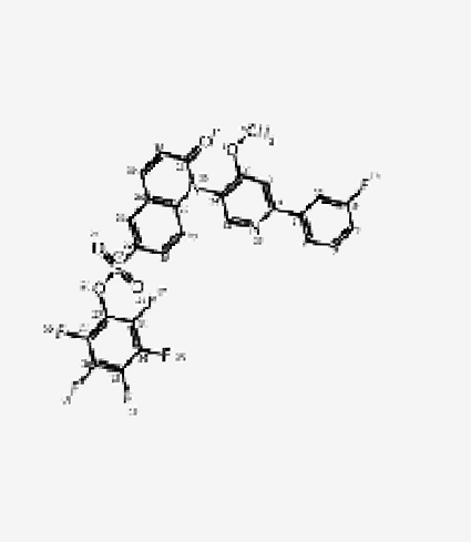 COc1cc(-c2cccc(F)c2)ncc1-n1c(=O)ccc2cc(S(=O)(=O)Oc3c(F)c(F)c(F)c(F)c3F)ccc21